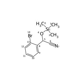 C[Si](C)(C)OC(C#N)c1ccccc1Br